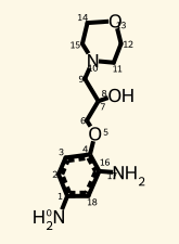 Nc1ccc(OCC(O)CN2CCOCC2)c(N)c1